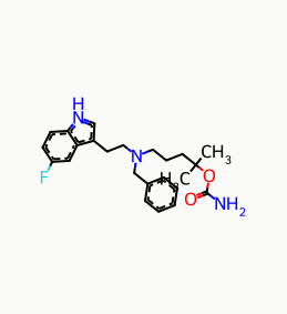 CC(C)(CCCN(CCc1c[nH]c2ccc(F)cc12)Cc1ccccc1)OC(N)=O